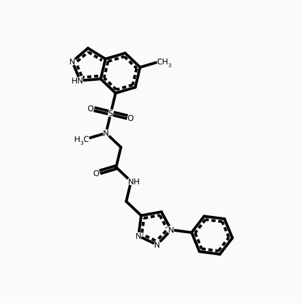 Cc1cc(S(=O)(=O)N(C)CC(=O)NCc2cn(-c3ccccc3)nn2)c2[nH]ncc2c1